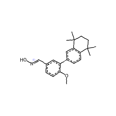 COc1ccc(/C=N/O)cc1-c1ccc2c(c1)C(C)(C)CCC2(C)C